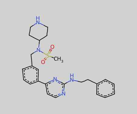 CS(=O)(=O)N(Cc1cccc(-c2ccnc(NCCc3ccccc3)n2)c1)C1CCNCC1